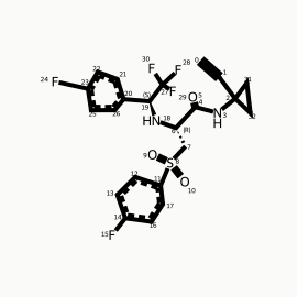 C#CC1(NC(=O)[C@H](CS(=O)(=O)c2ccc(F)cc2)N[C@@H](c2ccc(F)cc2)C(F)(F)F)CC1